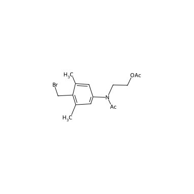 CC(=O)OCCN(C(C)=O)c1cc(C)c(CBr)c(C)c1